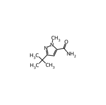 Cn1nc(C(C)(C)C)cc1C(N)=O